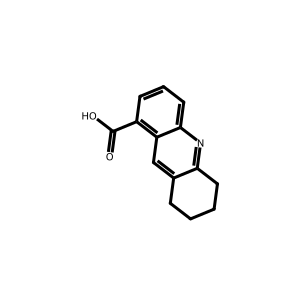 O=C(O)c1cccc2nc3c(cc12)CCCC3